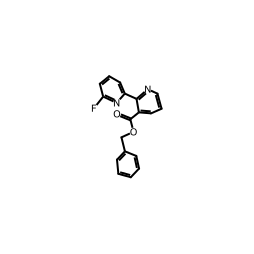 O=C(OCc1ccccc1)c1cccnc1-c1cccc(F)n1